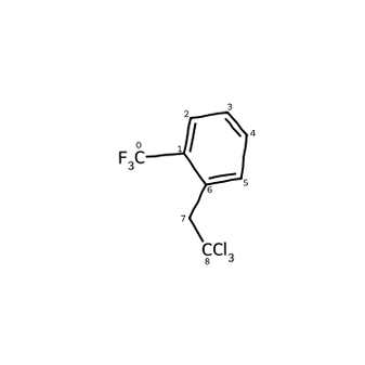 FC(F)(F)c1ccccc1CC(Cl)(Cl)Cl